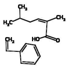 C=Cc1ccccc1.CC(=CCC(C)C)C(=O)O